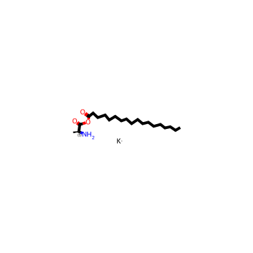 CCCCCCCCCCCCCCCCCC(=O)OC(=O)[C@H](C)N.[K]